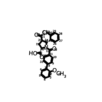 COc1ccccc1-c1ccc(C(=O)N2[C@H](C(=O)O)CC(C(C)=O)[C@@H]2c2ccccc2Cl)cc1